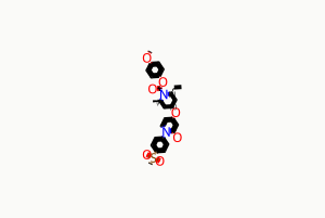 CC[C@@H]1C[C@H](Oc2ccn(-c3ccc(S(C)(=O)=O)cc3)c(=O)c2)C[C@@H](C)N1C(=O)Oc1ccc(OC)cc1